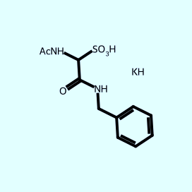 CC(=O)NC(C(=O)NCc1ccccc1)S(=O)(=O)O.[KH]